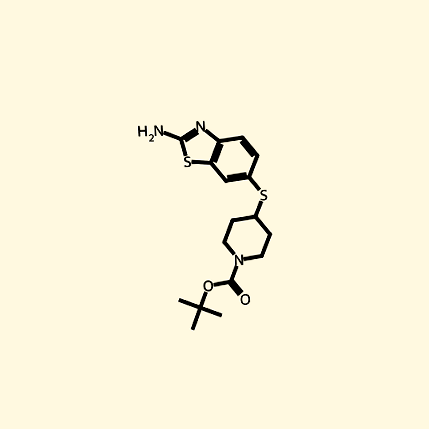 CC(C)(C)OC(=O)N1CCC(Sc2ccc3nc(N)sc3c2)CC1